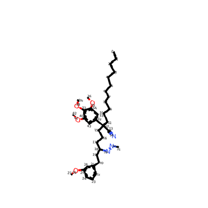 CCCCCCCCCCCCC(C#N)(CCCC(CCc1cccc(OC)c1)N=NC)c1cc(OC)c(OC)c(OC)c1